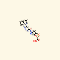 O=C(O)CCS(=O)(=O)Cc1ccc(NC(=O)c2cc(N(CC3CC3)C3CCCCC3)ncn2)cc1